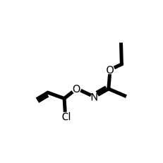 C=CC(Cl)ON=C(C)OCC